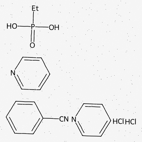 CCP(=O)(O)O.Cl.Cl.N#Cc1ccccc1.c1ccncc1.c1ccncc1